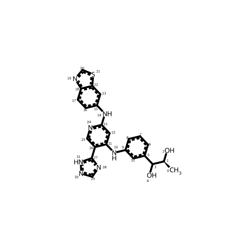 C[C@H](O)C(O)c1cccc(Nc2cc(Nc3ccc4ncsc4c3)ncc2-c2ncn[nH]2)c1